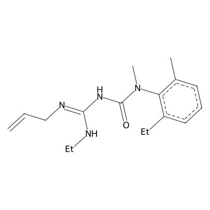 C=CCN=C(NCC)NC(=O)N(C)c1c(C)cccc1CC